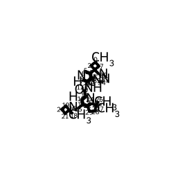 CC1CC(c2cncc(NC(=O)c3cc(CNC4(C)CCC4)c4c(n3)C(C)(C)CC4)c2)(c2nncn2C)C1